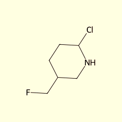 FCC1CCC(Cl)NC1